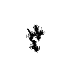 CCCCCNC(=O)c1cc(Br)ccc1Nc1ccc(I)cc1C.Cc1cc(I)ccc1Nc1ccc([N+](=O)[O-])cc1C(=O)NCc1ccc(S(N)(=O)=O)cc1.Cc1cccc(CNC(=O)c2cc(F)ccc2Nc2ccc(I)cc2C)c1